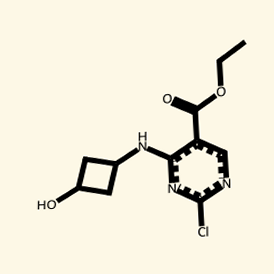 CCOC(=O)c1cnc(Cl)nc1NC1CC(O)C1